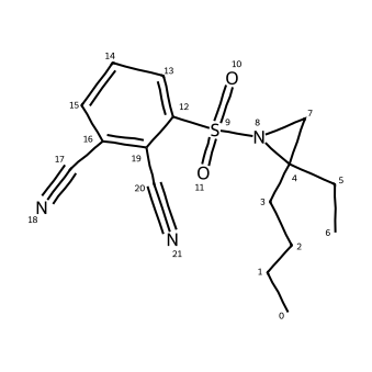 CCCCC1(CC)CN1S(=O)(=O)c1cccc(C#N)c1C#N